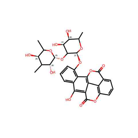 CC1O[C@H](OC2[C@H](Oc3cccc4c(O)c5c(=O)oc6cccc7c(=O)oc(c34)c5c67)OC(C)[C@H](O)[C@@H]2O)[C@H](O)C(C)[C@H]1O